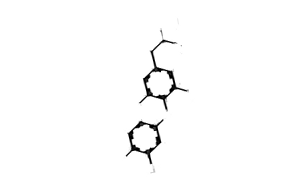 CCc1cc(C[C@H](N)C(=O)O)cc(CC)c1Oc1ccc(O)c(C(C)C)c1